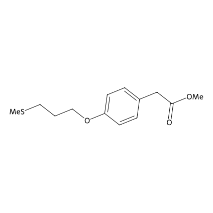 COC(=O)Cc1ccc(OCCCSC)cc1